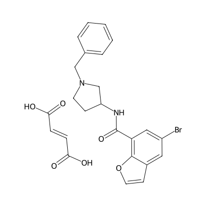 O=C(NC1CCN(Cc2ccccc2)C1)c1cc(Br)cc2ccoc12.O=C(O)C=CC(=O)O